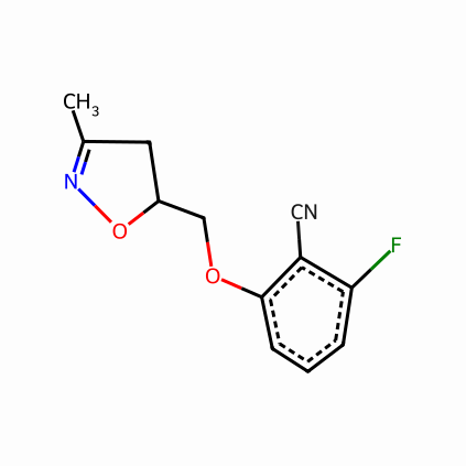 CC1=NOC(COc2cccc(F)c2C#N)C1